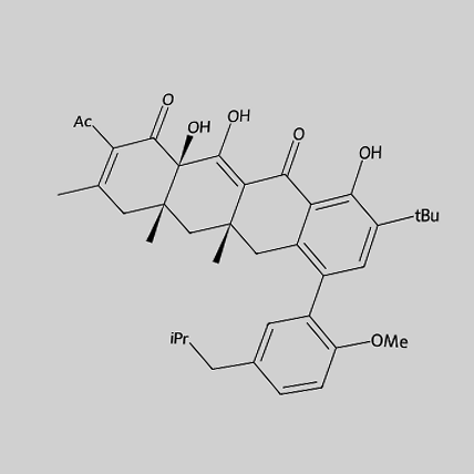 COc1ccc(CC(C)C)cc1-c1cc(C(C)(C)C)c(O)c2c1C[C@]1(C)C[C@]3(C)CC(C)=C(C(C)=O)C(=O)[C@]3(O)C(O)=C1C2=O